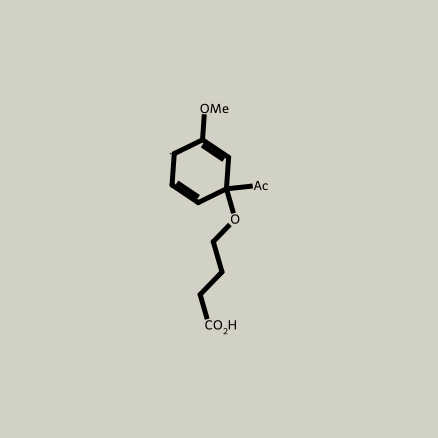 COC1=CC(OCCCC(=O)O)(C(C)=O)C=C[CH]1